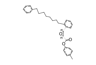 Cc1ccc(OC(=O)[C@@H]2O[C@@H]2c2ccccc2CCCCCCCCc2ccccc2)cc1